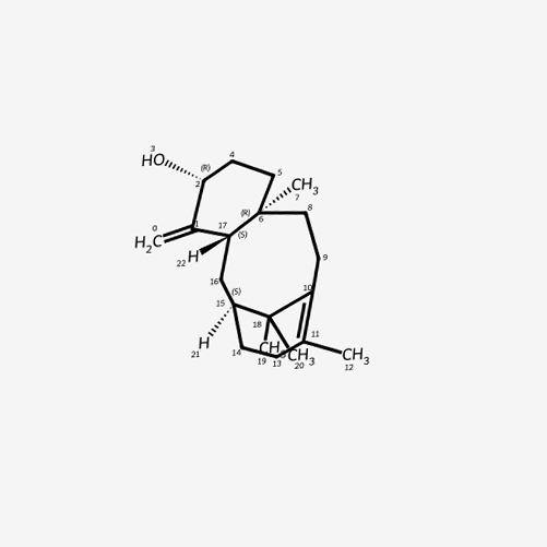 C=C1[C@H](O)CC[C@@]2(C)CCC3=C(C)CC[C@@H](C[C@H]12)C3(C)C